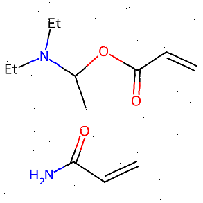 C=CC(=O)OC(C)N(CC)CC.C=CC(N)=O